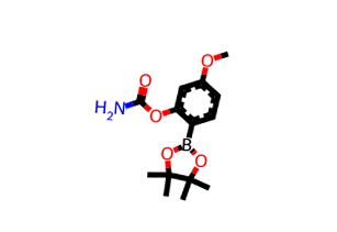 COc1ccc(B2OC(C)(C)C(C)(C)O2)c(OC(N)=O)c1